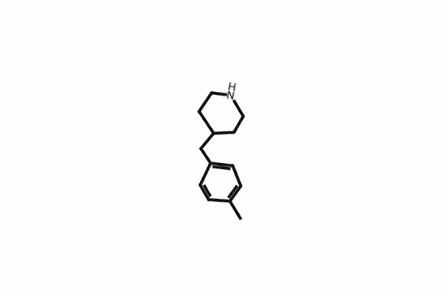 Cc1ccc(CC2CCNCC2)cc1